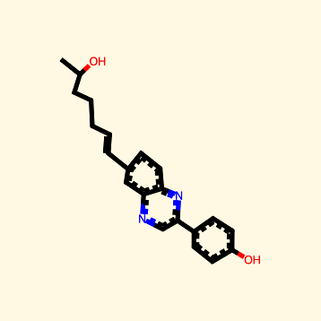 CC(O)CCC/C=C/c1ccc2nc(-c3ccc(O)cc3)cnc2c1